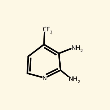 Nc1nccc(C(F)(F)F)c1N